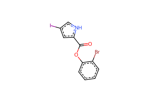 O=C(Oc1ccccc1Br)c1cc(I)c[nH]1